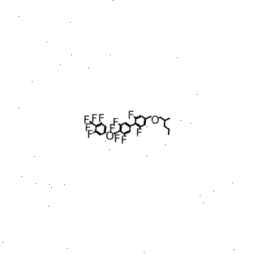 CCCC(C)COCc1cc(F)c(-c2cc(F)c(C(F)(F)Oc3cc(F)c(C(F)(F)F)c(F)c3)c(F)c2)c(F)c1